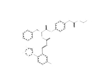 CCOC(=O)Cc1ccc(NC(=O)[C@H](Cc2ccccc2)NC(=O)/C=C/c2cc(Cl)ccc2-n2cnnn2)cc1